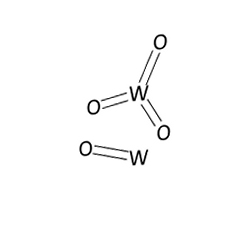 [O]=[W].[O]=[W](=[O])=[O]